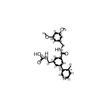 COc1cc(CNC(=O)c2cc(CNC(=O)O)cc(-c3cnccc3C)c2)cc(OC)c1